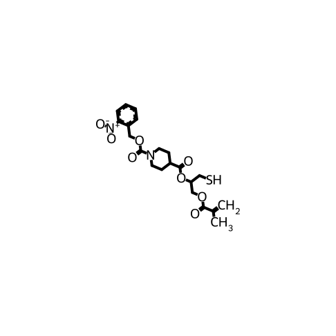 C=C(C)C(=O)OCC(CS)OC(=O)C1CCN(C(=O)OCc2ccccc2[N+](=O)[O-])CC1